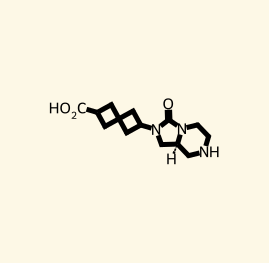 O=C(O)C1CC2(C1)CC(N1C[C@@H]3CNCCN3C1=O)C2